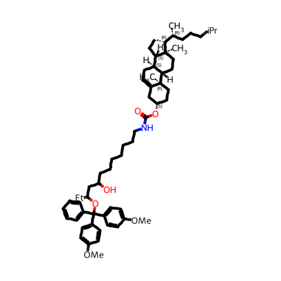 CCC(CC(O)CCCCCCCNC(=O)O[C@H]1CC[C@@]2(C)C(=CC[C@H]3[C@@H]4CC[C@H]([C@H](C)CCCC(C)C)[C@@]4(C)CC[C@@H]32)C1)OC(c1ccccc1)(c1ccc(OC)cc1)c1ccc(OC)cc1